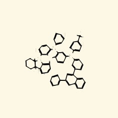 CC(C)(C)c1ccc(N(c2cccc(-c3cc(-c4ccccc4)cc4ccccc34)c2)c2ccc3c(c2)N(c2ccccc2)c2cccc4c2B3c2cccc3c2N4C2(C)CCCCC32C)cc1